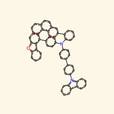 c1ccc(N(c2ccc(-c3ccc(-n4c5ccccc5c5ccccc54)cc3)cc2)c2ccc(-c3cccc4oc5ccccc5c34)cc2)c(-c2ccc3c(ccc4ccccc43)c2)c1